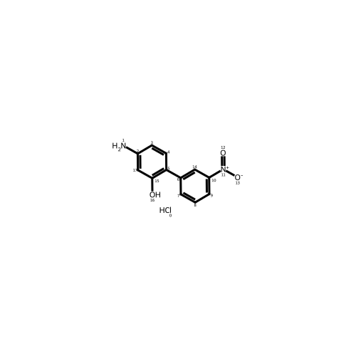 Cl.Nc1ccc(-c2cccc([N+](=O)[O-])c2)c(O)c1